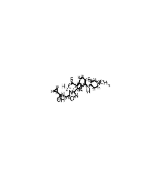 C=C(F)c1c(-c2noc(CNC(=O)C3CC3)n2)nn2c(N[C@@H]3CCN(C)C[C@@H]3F)cccc12